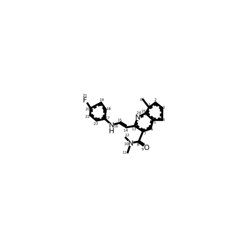 Cc1cccc2cc(C(=O)N(C)C)c(C=CNc3ccc(F)cc3)nc12